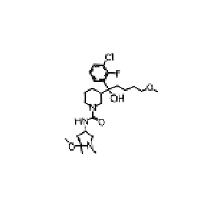 COCCCC[C@@](O)(c1cccc(Cl)c1F)[C@@H]1CCCN(C(=O)N[C@@H]2CN(C)C(C)(OC)C2)C1